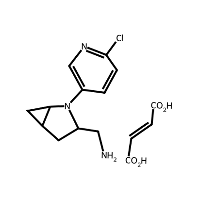 NCC1CC2CC2N1c1ccc(Cl)nc1.O=C(O)/C=C/C(=O)O